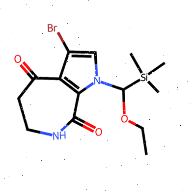 CCOC(n1cc(Br)c2c1C(=O)NCCC2=O)[Si](C)(C)C